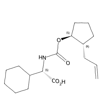 C=CC[C@H]1CCC[C@@H]1OC(=O)N[C@H](C(=O)O)C1CCCCC1